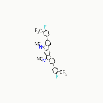 N#C/N=c1/c2cc(-c3ccc(F)c(C(F)(F)F)c3)ccc2c2cc3c(cc12)/c(=N/C#N)c1cc(-c2ccc(F)c(C(F)(F)F)c2)ccc13